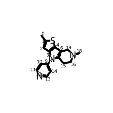 Cc1cc2c(s1)c1c(n2-c2ccncc2)CCN(C)C1